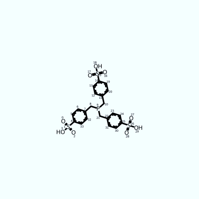 O=S(=O)(O)c1ccc(CP(Cc2ccc(S(=O)(=O)O)cc2)Cc2ccc(S(=O)(=O)O)cc2)cc1